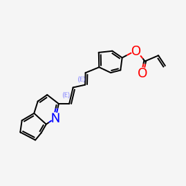 C=CC(=O)Oc1ccc(/C=C/C=C/c2ccc3ccccc3n2)cc1